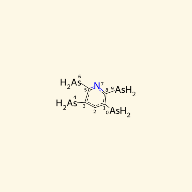 [AsH2]c1cc([AsH2])c([AsH2])nc1[AsH2]